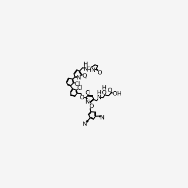 COc1nc(-c2cccc(-c3cccc(COc4nc(OCc5cc(C#N)cc(C#N)c5)c(CNC[C@@H](O)CC(=O)O)cc4Cl)c3Cl)c2Cl)ccc1CNC[C@@H]1CCC(=O)N1